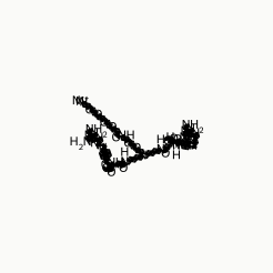 COC(=O)[C@H](CCC(=O)NCCCCCN(CCCCCNC(=O)CC[C@@H](NC(=O)c1ccc(N(C)Cc2cnc3nc(N)nc(N)c3n2)cc1)C(=O)OC)CCOCCOCCNC(=O)CCOCCOCCOCCOCCN=[N+]=[N-])NC(=O)c1ccc(N(C)Cc2cnc3nc(N)nc(N)c3n2)cc1